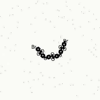 O=C(C(=O)c1ccc(Oc2ccc(C(=O)C(=O)c3ccc(Oc4ccc(C(=O)C(=O)c5ccc(Br)cc5)cc4)cc3)cc2)cc1)c1ccc(Br)cc1